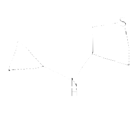 C1CC1NC1CSC1